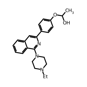 CCN1CCN(c2nc(-c3ccc(OC(C)O)cc3)cc3ccccc23)CC1